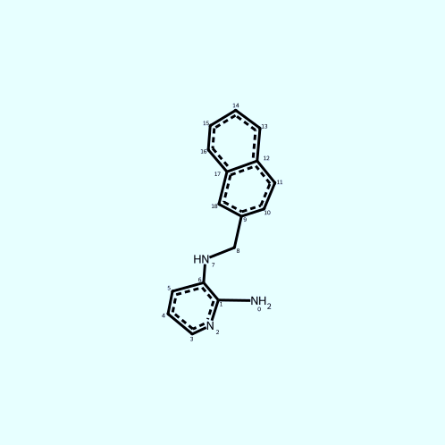 Nc1ncccc1NCc1ccc2ccccc2c1